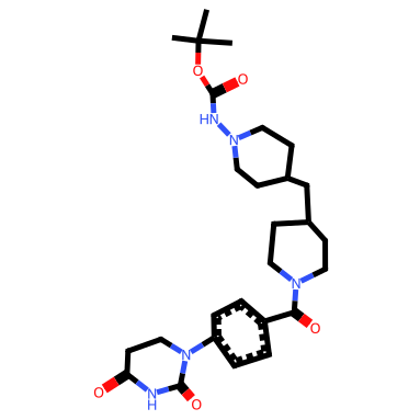 CC(C)(C)OC(=O)NN1CCC(CC2CCN(C(=O)c3ccc(N4CCC(=O)NC4=O)cc3)CC2)CC1